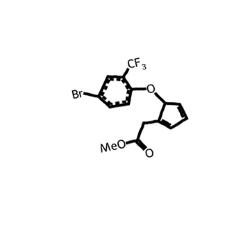 COC(=O)CC1=CC=CC1Oc1ccc(Br)cc1C(F)(F)F